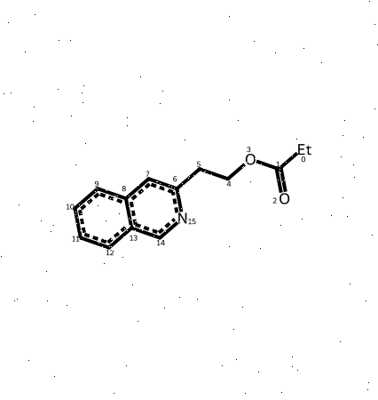 CCC(=O)OCCc1cc2ccccc2cn1